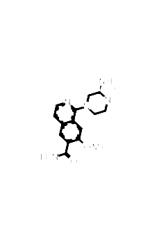 COc1cc2c(N3CCN[C@H](N)C3)nccc2cc1C(N)=O